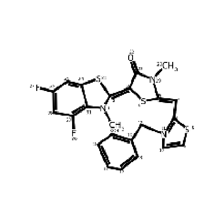 CN1/C(=c2\s/c(=C\c3scc[n+]3Cc3ccccc3)n(C)c2=O)Sc2cc(F)cc(F)c21